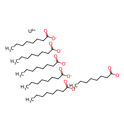 CCCCCCCC(=O)[O-].CCCCCCCC(=O)[O-].CCCCCCCC(=O)[O-].CCCCCCCC(=O)[O-].CCCCCCCC(=O)[O-].CCCCCCCC(=O)[O-].[U+6]